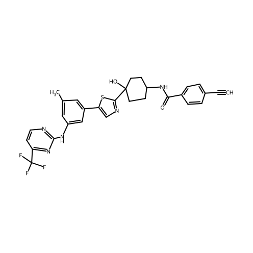 C#Cc1ccc(C(=O)NC2CCC(O)(c3ncc(-c4cc(C)cc(Nc5nccc(C(F)(F)F)n5)c4)s3)CC2)cc1